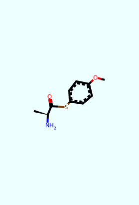 COc1ccc(SC(=O)[C@H](C)N)cc1